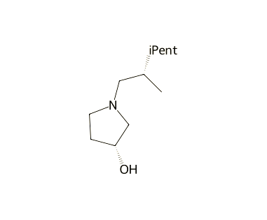 CCCC(C)[C@H](C)CN1CC[C@@H](O)C1